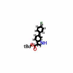 CC(C)(C)OC(=O)c1c[nH]c2cc(-c3ccc(F)cc3)ccc12